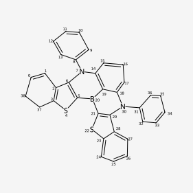 C1=Cc2c(sc3c2N(c2ccccc2)c2cccc4c2B3c2sc3ccccc3c2N4c2ccccc2)CC1